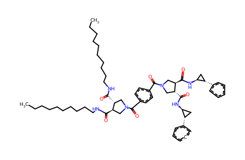 CCCCCCCCCCNC(=O)[C@@H]1CN(C(=O)c2ccc(C(=O)N3C[C@@H](C(=O)N[C@H]4C[C@@H]4c4ccccc4)[C@H](C(=O)N[C@H]4C[C@@H]4c4ccccc4)C3)cc2)C[C@H]1C(=O)NCCCCCCCCCC